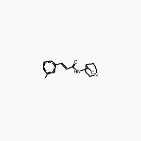 O=C(C=Cc1cccc(I)c1)NC1CN2CCC1CC2